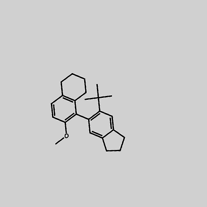 COc1ccc2c(c1-c1cc3c(cc1C(C)(C)C)CCC3)CCCC2